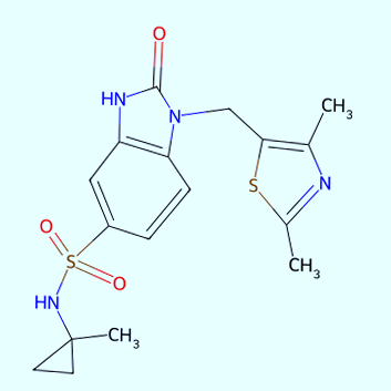 Cc1nc(C)c(Cn2c(=O)[nH]c3cc(S(=O)(=O)NC4(C)CC4)ccc32)s1